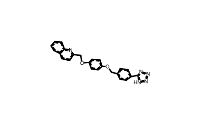 c1ccc2nc(COc3ccc(OCc4ccc(-c5nnn[nH]5)cc4)cc3)ccc2c1